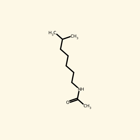 CC(=O)NCCCCCC(C)C